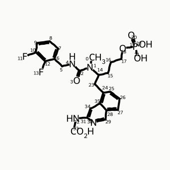 CN(C(=O)NCc1cccc(F)c1F)C(CCCOP(=O)(O)O)Cc1cccc2cnc(NC(=O)O)cc12